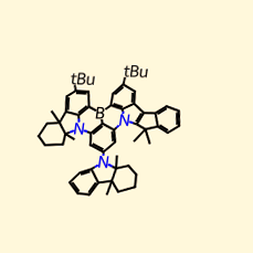 CC(C)(C)c1cc2c3c(c1)C1(C)CCCCC1(C)N3c1cc(N3c4ccccc4C4(C)CCCCC34C)cc3c1B2c1cc(C(C)(C)C)cc2c4c(n-3c12)C(C)(C)c1ccccc1-4